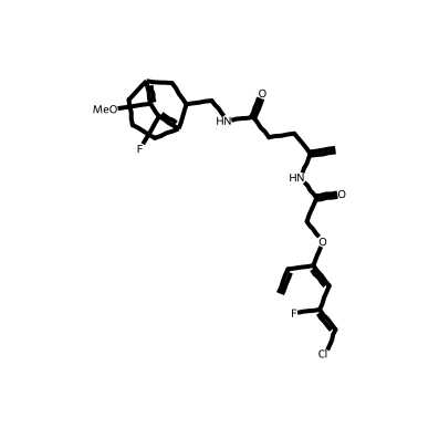 C=C/C(=C\C(F)=C\Cl)OCC(=O)NC(=C)CCC(=O)NCC1CC2=C(OC)C(F)=C1CCC2